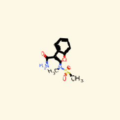 CN(c1oc2ccccc2c1C(N)=O)S(C)(=O)=O